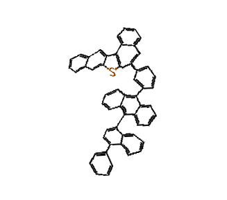 c1ccc(-c2ccc(-c3c4ccccc4c(-c4cccc(-c5cc6ccccc6c6c5sc5cc7ccccc7cc56)c4)c4ccccc34)c3ccccc23)cc1